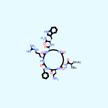 CCCC[C@H](NC(C)=O)C(=O)N[C@H]1CCC(=O)NCC[C@@H](C(=O)N[C@@H](Cc2c[nH]c3ccccc23)C(N)=O)NC(=O)[C@H](CCCNC(=N)N)NC(=O)[C@@H](Cc2ccccc2)NC(=O)[C@H](CCN)NC1=O